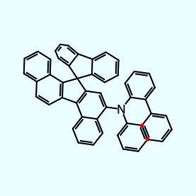 c1ccc(-c2ccccc2N(c2ccccc2)c2cc3c(c4ccccc24)-c2ccc4ccccc4c2C32c3ccccc3-c3ccccc32)cc1